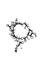 COc1cc2cc(c1Cl)N(C)C(=O)C[C@H](OC(=O)[C@H](C)N=[N+]=[N-])[C@]1(C)O[C@@H]1[C@@H](C)[C@@H]1C[C@@](O)(NC(=O)O1)[C@H](OC)/C=C/C=C(\C)C2